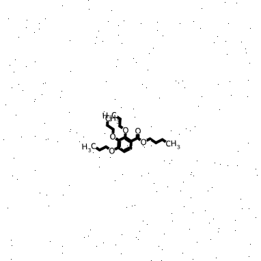 CCCCOC(=O)c1ccc(OCCC)c(OCCC)c1OCCC